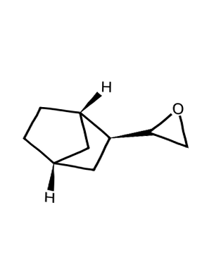 C1OC1[C@H]1C[C@@H]2CC[C@H]1C2